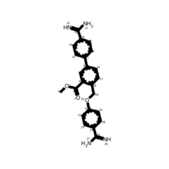 COC(=O)c1cc(-c2ccc(C(=N)N)cc2)ccc1COc1ccc(C(=N)N)cc1